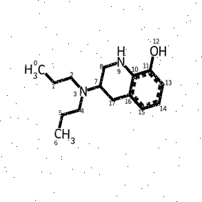 CCCN(CCC)C1CNc2c(O)cccc2C1